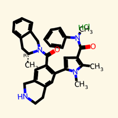 Cc1c(C(=O)N(C)c2ccccc2)cc(-c2cc3c(cc2C(=O)N2Cc4ccccc4C[C@H]2C)CNCC3)n1C.Cl